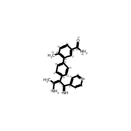 C/C(N)=C(/C(=N)c1ccncc1)c1ccc(-c2cc(C(N)=O)ccc2C)cc1